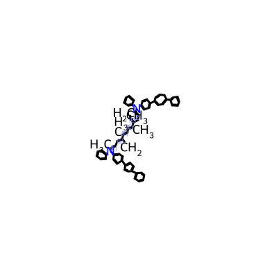 C=CC(=C\C=C(/C)N(c1ccccc1)c1ccc(-c2ccc(-c3ccccc3)cc2)cc1)/C(C)=C/C=C(C)/C(/C=C\C(=C)N(c1ccccc1)c1ccc(C2=CC=C(c3ccccc3)CC=C2)cc1)=C/C